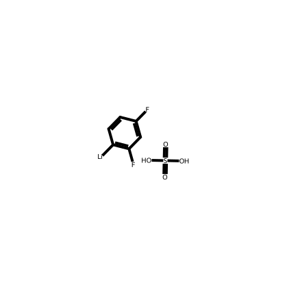 O=S(=O)(O)O.[Li][c]1ccc(F)cc1F